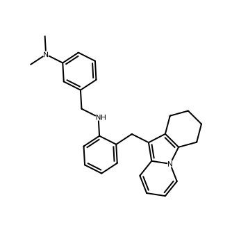 CN(C)c1cccc(CNc2ccccc2Cc2c3c(n4ccccc24)CCCC3)c1